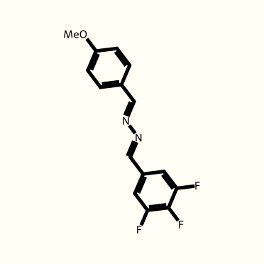 COc1ccc(/C=N/N=C/c2cc(F)c(F)c(F)c2)cc1